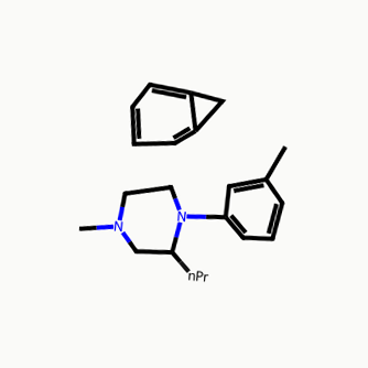 CCCC1CN(C)CCN1c1cccc(C)c1.c1ccc2c(c1)C2